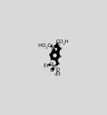 CCOP(=O)(Cc1ccc2c(c1)cc(C(=O)O)n2C(=O)O)OCC